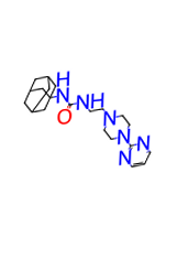 O=C(NCCN1CCN(c2ncccn2)CC1)NC12CC3CC(CC(C3)C1)C2